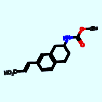 CC(C)(C)OC(=O)N[C@H]1CCc2ccc(/C=C/C(=O)O)cc2C1